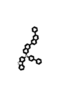 c1ccc(-c2ccc(N(c3ccc4ccc(-c5ccc6ccc(-c7ccccc7)cc6c5)cc4c3)c3ccc4sc5ccccc5c4c3)cc2)cc1